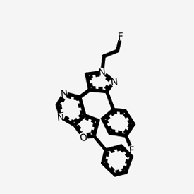 FCCn1cc(-c2ncnc3oc(-c4ccccc4)cc23)c(-c2ccc(F)cc2)n1